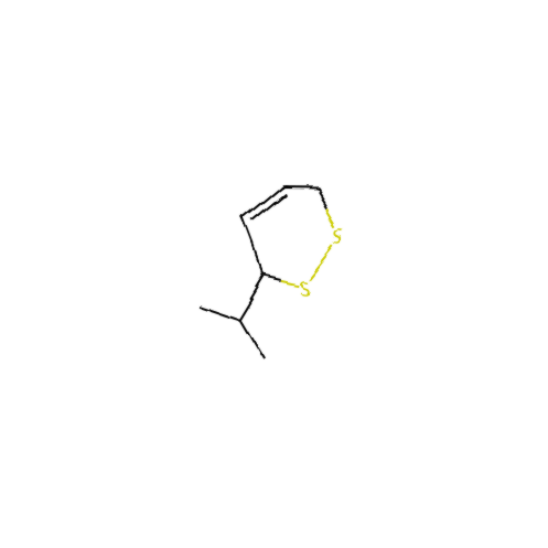 CC(C)C1C=CCSS1